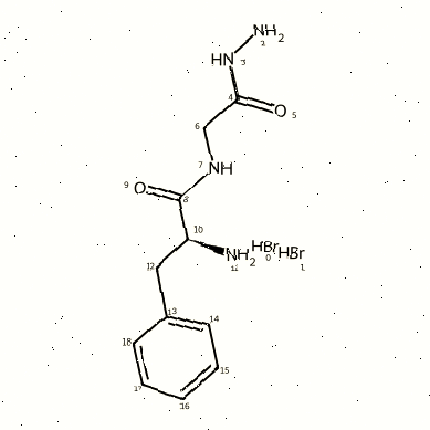 Br.Br.NNC(=O)CNC(=O)[C@@H](N)Cc1ccccc1